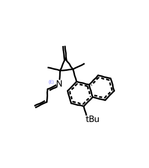 C=C/C=N/C1(C)C(=C)C1(C)c1ccc(C(C)(C)C)c2ccccc12